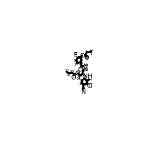 CCCC(=O)Oc1cc(-c2nnc([C@H](Nc3ccc(C#N)c(Cl)c3C)[C@@H](C)OC(=O)CCC)o2)ccc1F